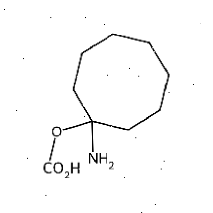 NC1(OC(=O)O)CCCCCCC1